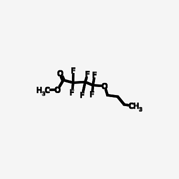 CCCCOC(F)(F)C(F)(F)C(F)(F)C(=O)OC